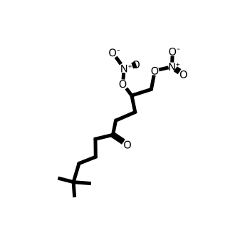 CC(C)(C)CCCC(=O)CCC(CO[N+](=O)[O-])O[N+](=O)[O-]